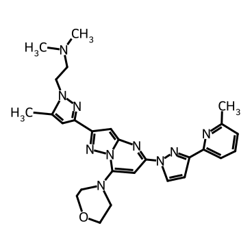 Cc1cccc(-c2ccn(-c3cc(N4CCOCC4)n4nc(-c5cc(C)n(CCN(C)C)n5)cc4n3)n2)n1